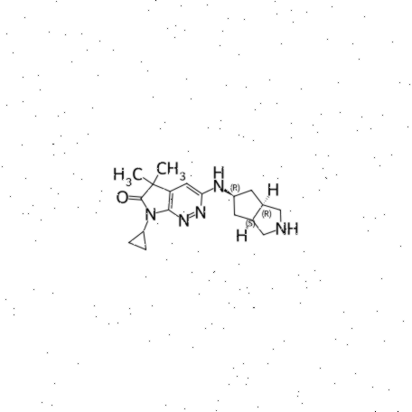 CC1(C)C(=O)N(C2CC2)c2nnc(N[C@H]3C[C@H]4CNC[C@H]4C3)cc21